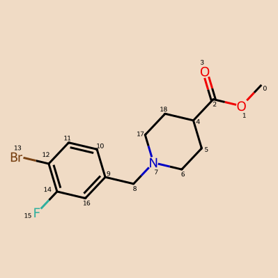 COC(=O)C1CCN(Cc2ccc(Br)c(F)c2)CC1